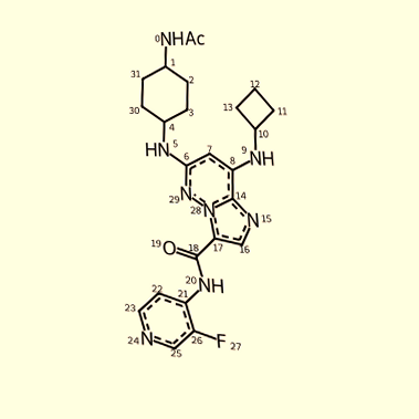 CC(=O)NC1CCC(Nc2cc(NC3CCC3)c3ncc(C(=O)Nc4ccncc4F)n3n2)CC1